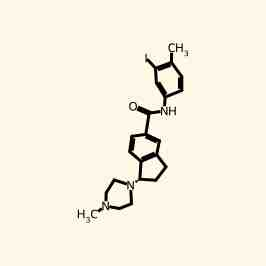 Cc1ccc(NC(=O)c2ccc3c(c2)CC[C@@H]3N2CCN(C)CC2)cc1I